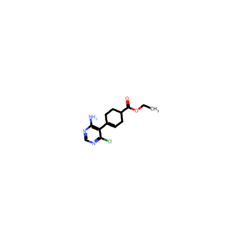 CCOC(=O)C1CC=C(c2c(N)ncnc2Cl)CC1